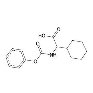 O=C(NC(C(=O)O)C1CCCCC1)Oc1ccccc1